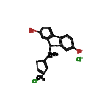 Brc1ccc2c(c1)[CH]([Zr+2][C]1=CC=CC1)c1cc(Br)ccc1-2.C.[Cl-].[Cl-]